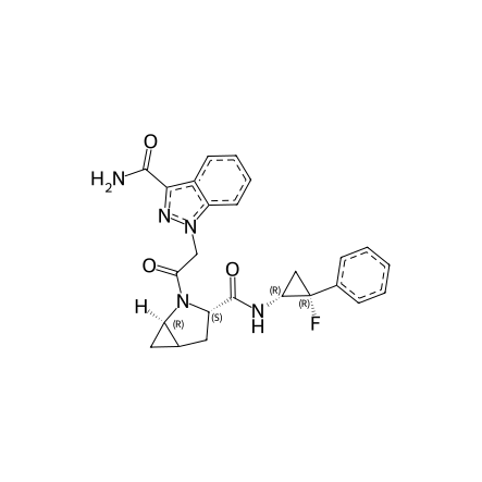 NC(=O)c1nn(CC(=O)N2[C@@H]3CC3C[C@H]2C(=O)N[C@@H]2C[C@@]2(F)c2ccccc2)c2ccccc12